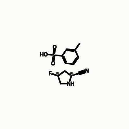 Cc1cccc(S(=O)(=O)O)c1.N#C[C@@H]1C[C@H](F)CN1